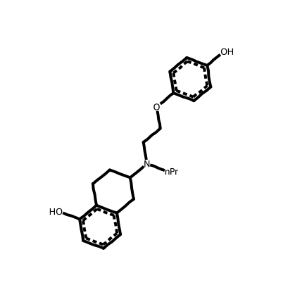 CCCN(CCOc1ccc(O)cc1)C1CCc2c(O)cccc2C1